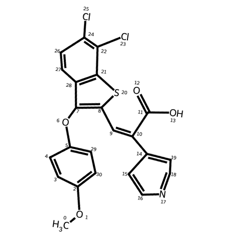 COc1ccc(Oc2c(C=C(C(=O)O)c3ccncc3)sc3c(Cl)c(Cl)ccc23)cc1